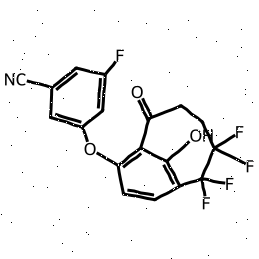 N#Cc1cc(F)cc(Oc2ccc3c(O)c2C(=O)CCC(F)(F)C3(F)F)c1